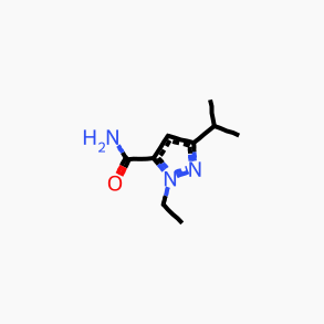 CCn1nc(C(C)C)cc1C(N)=O